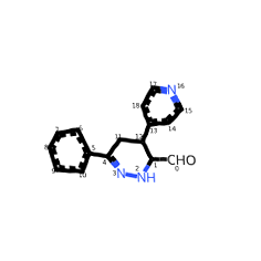 O=CC1NN=C(c2ccccc2)CC1c1ccncc1